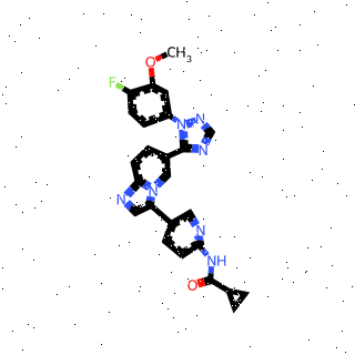 COc1cc(-n2ncnc2-c2ccc3ncc(-c4ccc(NC(=O)C5CC5)nc4)n3c2)ccc1F